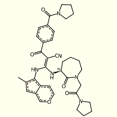 Cc1cc2coccc-2c1NC(N[C@H]1CCCCN(CC(=O)N2CCCC2)C1=O)=C(C#N)C(=O)c1ccc(C(=O)N2CCCC2)cc1